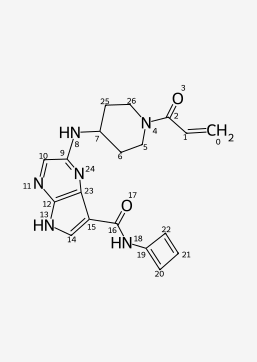 C=CC(=O)N1CCC(Nc2cnc3[nH]cc(C(=O)NC4=CC=C4)c3n2)CC1